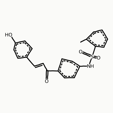 Cc1ccccc1S(=O)(=O)Nc1ccc(C(=O)/C=C/c2ccc(O)cc2)cc1